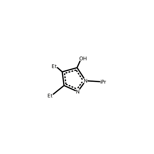 CCc1nn(C(C)C)c(O)c1CC